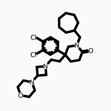 O=C1CCC(CCN2CC(N3CCOCC3)C2)(c2ccc(Cl)c(Cl)c2)CN1CC1CCCCCC1